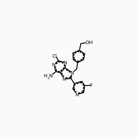 Nc1nc(Cl)nc2c1nc(-c1cncc(F)c1)n2Cc1ccc(CO)cc1